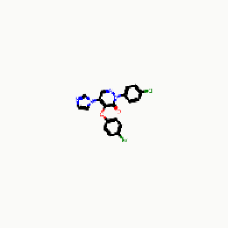 O=c1c(Oc2ccc(Br)cc2)c(-n2ccnc2)cnn1-c1ccc(Cl)cc1